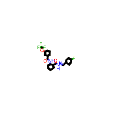 O=C(Nc1ccccc1C(=O)N/N=C/c1ccc(F)cc1)c1cccc(OC(F)(F)F)c1